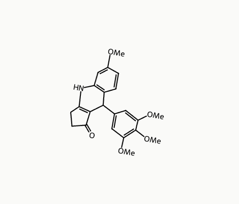 COc1ccc2c(c1)NC1=C(C(=O)CC1)C2c1cc(OC)c(OC)c(OC)c1